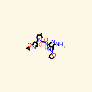 CC1CCC(c2ccnc(OC3CC3)c2)N(C(=O)C(=O)Nc2cnc(N)c3cn(C4CCCCO4)nc23)C1